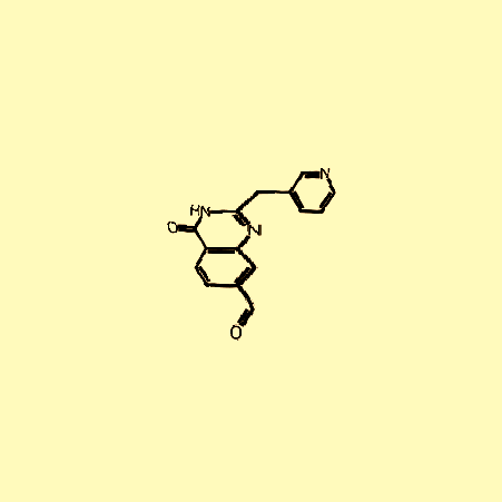 O=Cc1ccc2c(=O)[nH]c(Cc3cccnc3)nc2c1